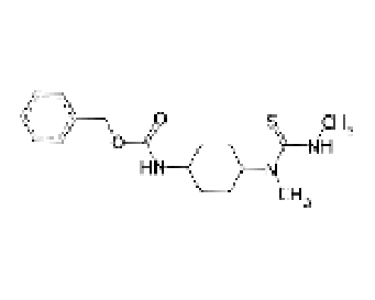 CNC(=S)N(C)C1CCC(NC(=O)OCc2ccccc2)CC1